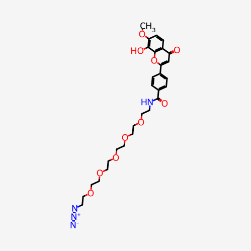 COc1ccc2c(=O)cc(-c3ccc(C(=O)NCCOCCOCCOCCOCCOCCN=[N+]=[N-])cc3)oc2c1O